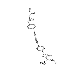 C[C@@H](N)[C@H]1CC(c2ccc(C#CC#Cc3ccc(CNCC(F)F)cc3)cc2)N1